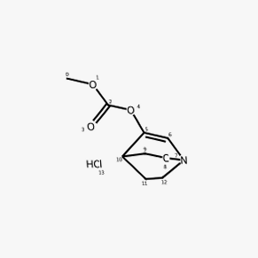 COC(=O)OC1=CN2CCC1CC2.Cl